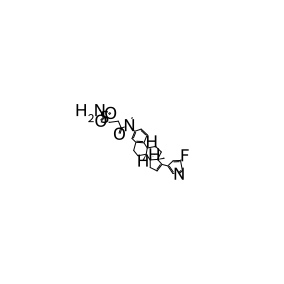 CN(C(=O)CCS(N)(=O)=O)c1ccc2c(c1)CC[C@@H]1[C@@H]2CC[C@]2(C)C(c3cncc(F)c3)=CC[C@@H]12